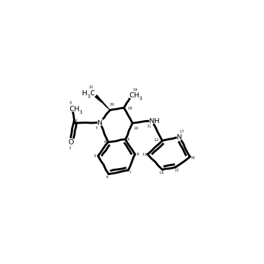 CC(=O)N1c2ccccc2C(Nc2ccccn2)C(C)[C@@H]1C